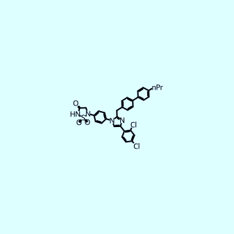 CCCc1ccc(-c2ccc(Cc3nc(-c4ccc(Cl)cc4Cl)cn3-c3ccc(N4CC(=O)NS4(=O)=O)cc3)cc2)cc1